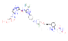 Cn1nc([C@H]2CCC(=O)NC2=O)c2cccc(C#CCO[C@@H]3CCN(C[C@H]4CC[C@H](n5cc(NC(=O)c6cnn7ccc(N8CCO[C@@H](CO)C8)nc67)c(C(F)F)n5)CC4)C[C@@H]3F)c21